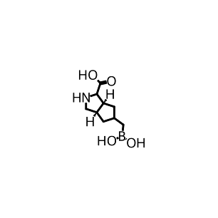 O=C(O)C1NC[C@H]2CC(CB(O)O)C[C@@H]12